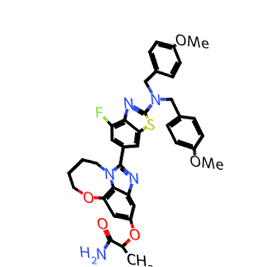 COc1ccc(CN(Cc2ccc(OC)cc2)c2nc3c(F)cc(-c4nc5cc(OC(C)C(N)=O)cc6c5n4CCCCO6)cc3s2)cc1